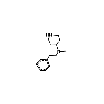 CCN(CCc1ccccc1)C1CCNCC1